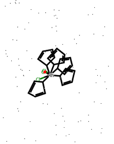 [Cl][Rh]([Cl])([Cl])([CH]1C=CC=C1)([CH]1C=CC=C1)([CH]1C=CC=C1)([CH]1C=CC=C1)[CH]1C=CC=C1